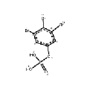 O=P(O)(O)Oc1cc(Br)c(Br)c(Br)c1